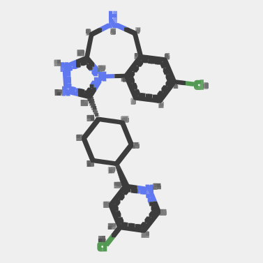 Clc1ccc2c(c1)CNCc1nnc([C@H]3CC[C@H](c4cc(Cl)ccn4)CC3)n1-2